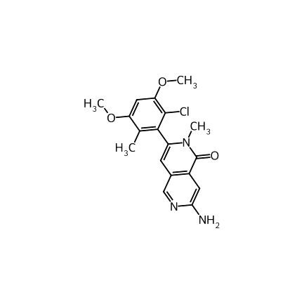 COc1cc(OC)c(Cl)c(-c2cc3cnc(N)cc3c(=O)n2C)c1C